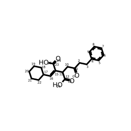 O=C(CCc1ccccc1)CC(C(=O)O)C(=CC1CCCCC1)C(=O)O